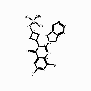 CC(=O)c1cc(C)cc2c(=O)n(C3CC(O[Si](C)(C)C(C)(C)C)C3)c(N3Cc4ccccc4C3)nc12